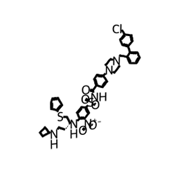 O=C(NS(=O)(=O)c1ccc(N[C@H](CCNC2CCC2)CSc2ccccc2)c([N+](=O)[O-])c1)c1ccc(N2CCN(Cc3ccccc3-c3ccc(Cl)cc3)CC2)cc1